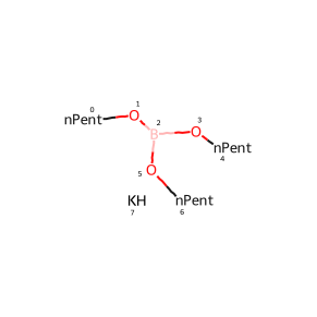 CCCCCOB(OCCCCC)OCCCCC.[KH]